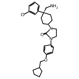 NC[C@]1(c2cccc(Cl)c2)CC[C@H](N2CCN(c3ccc(OCC4CCCC4)cc3)C2=O)CC1